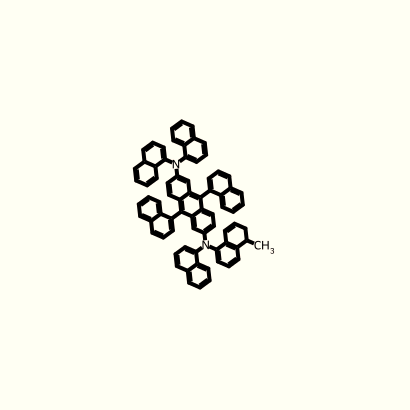 CC1CC=Cc2c1cccc2N(c1ccc2c(-c3cccc4ccccc34)c3cc(N(C4=CC=CC5C=CC=CC45)c4cccc5ccccc45)ccc3c(-c3cccc4ccccc34)c2c1)c1cccc2ccccc12